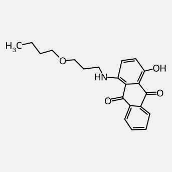 CCCCOCCCNc1ccc(O)c2c1C(=O)c1ccccc1C2=O